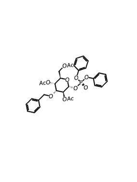 CC(=O)OC[C@H]1O[C@H](OP(=O)(Oc2ccccc2)Oc2ccccc2)[C@@H](OC(C)=O)[C@H](OCc2ccccc2)[C@@H]1OC(C)=O